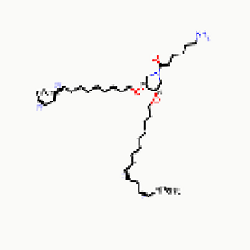 CCCCC/C=C\C/C=C\CCCCCCCCO[C@@H]1CN(C(=O)CCCCCN)C[C@H]1OCCCCCCCC/C=C\C/C=C\CCCCC